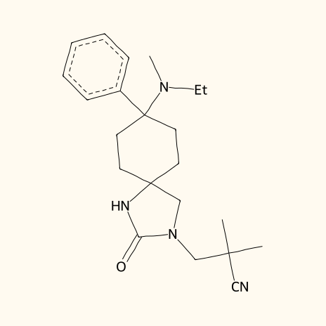 CCN(C)C1(c2ccccc2)CCC2(CC1)CN(CC(C)(C)C#N)C(=O)N2